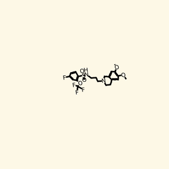 COc1cc2c(cc1OC)CN(CCCNS(=O)(=O)c1ccc(F)cc1OC(F)(F)F)CC2